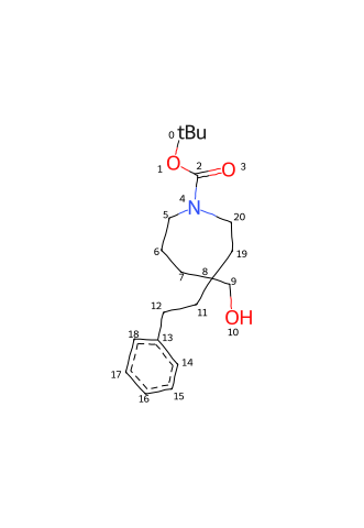 CC(C)(C)OC(=O)N1CCCC(CO)(CCc2ccccc2)CC1